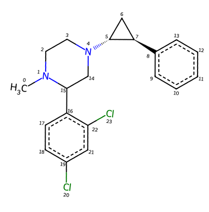 CN1CCN([C@@H]2C[C@H]2c2ccccc2)CC1c1ccc(Cl)cc1Cl